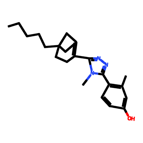 CCCCCC12CCC(c3nnc(-c4ccc(O)cc4C)n3C)=C(C1)C2